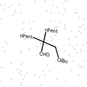 CCCCCC(C=O)(CCCCC)COCC(C)C